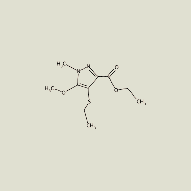 CCOC(=O)c1nn(C)c(OC)c1SCC